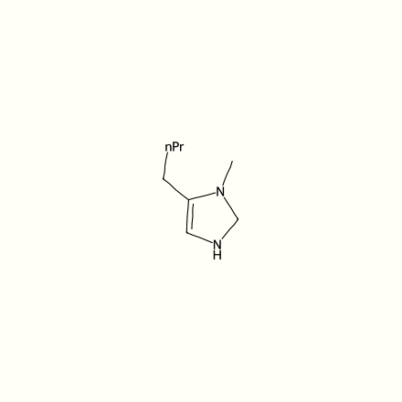 CCCCC1=CNCN1C